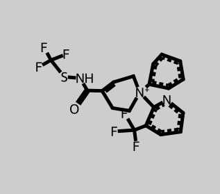 O=C(NSC(F)(F)F)C1=CC[N+](c2ccccc2)(c2ncccc2C(F)(F)F)CC1